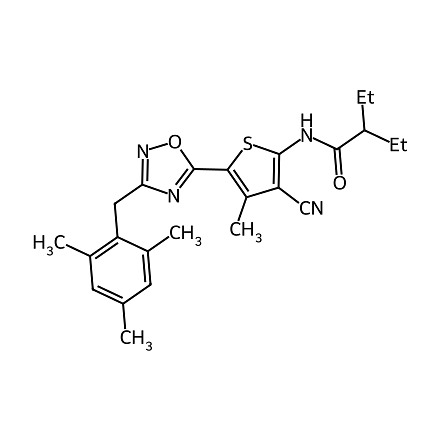 CCC(CC)C(=O)Nc1sc(-c2nc(Cc3c(C)cc(C)cc3C)no2)c(C)c1C#N